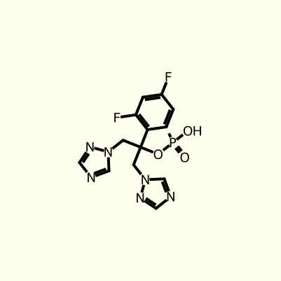 CP(=O)(O)OC(Cn1cncn1)(Cn1cncn1)c1ccc(F)cc1F